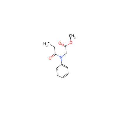 CCC(=O)N(CC(=O)OC)c1ccccc1